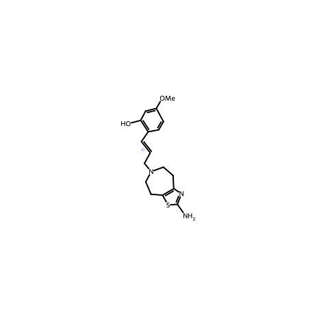 COc1ccc(/C=C/CN2CCc3nc(N)sc3CC2)c(O)c1